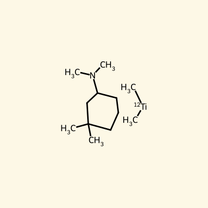 CN(C)C1CCCC(C)(C)C1.[CH3][12Ti][CH3]